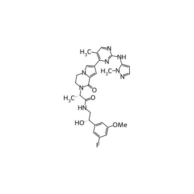 COc1cc(F)cc([C@H](O)CNC(=O)[C@H](C)N2CCn3cc(-c4nc(Nc5ccnn5C)ncc4C)cc3C2=O)c1